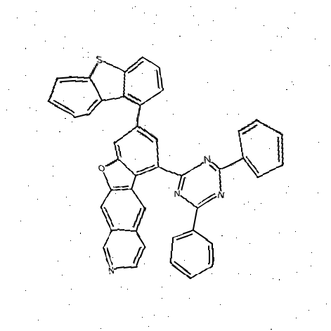 c1ccc(-c2nc(-c3ccccc3)nc(-c3cc(-c4cccc5sc6ccccc6c45)cc4oc5cc6cnccc6cc5c34)n2)cc1